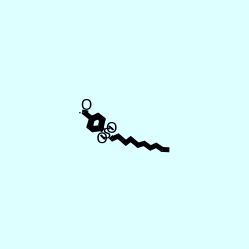 CCCCCCCCCCS(=O)(=O)c1ccc([C]=O)cc1